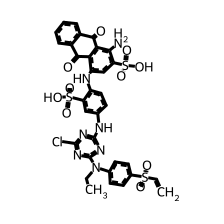 C=CS(=O)(=O)c1ccc(N(CC)c2nc(Cl)nc(Nc3ccc(Nc4cc(S(=O)(=O)O)c(N)c5c4C(=O)c4ccccc4C5=O)c(S(=O)(=O)O)c3)n2)cc1